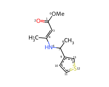 COC(=O)C=C(C)NC(C)c1ccsc1